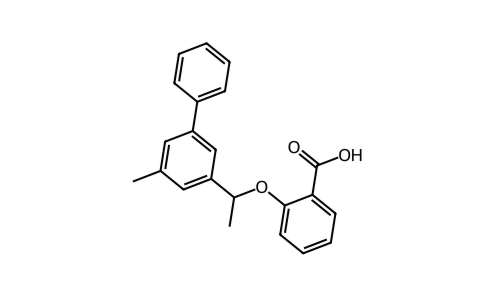 Cc1cc(-c2ccccc2)cc(C(C)Oc2ccccc2C(=O)O)c1